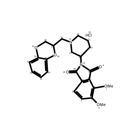 COc1ccc2c(c1OC)C(=O)N(C1CCCN(CC3COc4ccccc4O3)C1)C2=O.Cl